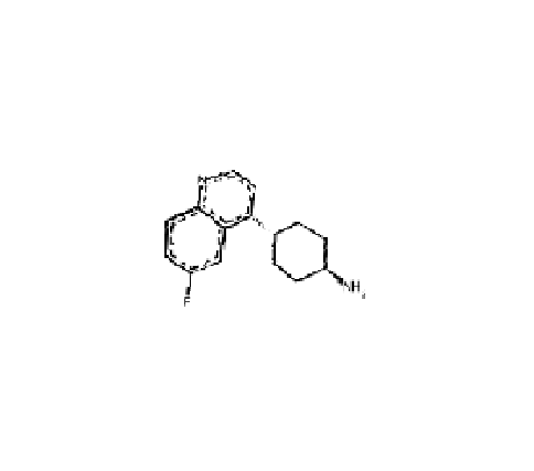 N[C@H]1CC[C@H](c2ccnc3ccc(F)cc32)CC1